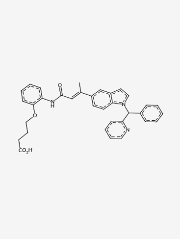 CC(=CC(=O)Nc1ccccc1OCCCC(=O)O)c1ccc2c(ccn2C(c2ccccc2)c2ccccn2)c1